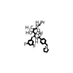 CC(C)CNC(=O)[C@H](C)[C@@H](O)[C@H](O)[C@H](Cc1cc(F)cc(F)c1)NC(=O)c1ccc(CN2CCCC2)cc1